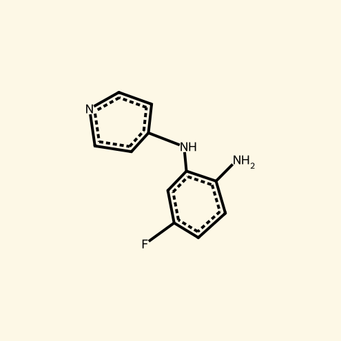 Nc1ccc(F)cc1Nc1ccncc1